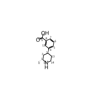 C[C@@H]1C[C@@H](c2cccc(C(=O)O)c2)CCN1